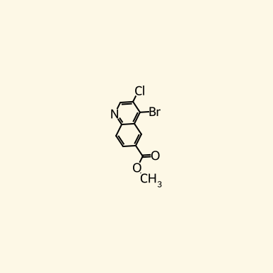 COC(=O)c1ccc2ncc(Cl)c(Br)c2c1